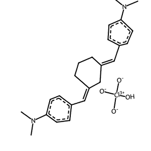 CN(C)c1ccc(C=C2CCCC(=Cc3ccc(N(C)C)cc3)C2)cc1.[O-][Cl+3]([O-])([O-])O